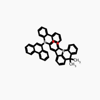 CC1(C)c2ccccc2-n2c3ccc(N(c4ccccc4-c4ccccc4)c4cc5ccccc5c5ccccc45)cc3c3cccc1c32